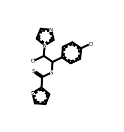 S=C(SC(c1ccc(Cl)cc1)C(Cl)n1ccnc1)c1cccs1